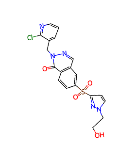 O=c1c2ccc(S(=O)(=O)c3ccn(CCO)n3)cc2cnn1Cc1cccnc1Cl